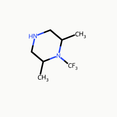 CC1CNCC(C)N1C(F)(F)F